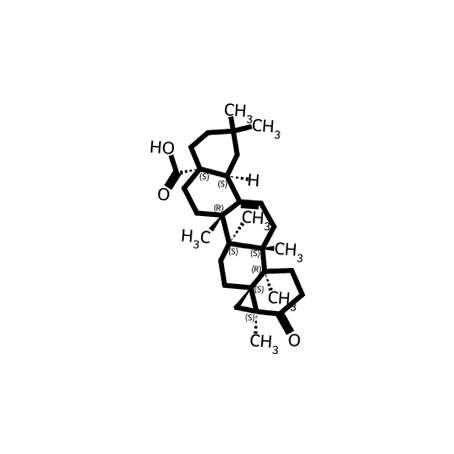 CC1(C)CC[C@]2(C(=O)O)CC[C@]3(C)C(=CC[C@]4(C)[C@@]5(C)CCC(=O)[C@@]6(C)C[C@@]56CC[C@]43C)[C@@H]2C1